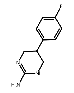 NC1=NCC(c2ccc(F)cc2)CN1